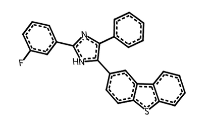 Fc1cccc(-c2nc(-c3ccccc3)c(-c3ccc4sc5ccccc5c4c3)[nH]2)c1